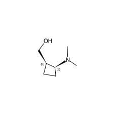 CN(C)[C@H]1CC[C@H]1CO